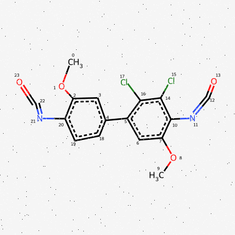 COc1cc(-c2cc(OC)c(N=C=O)c(Cl)c2Cl)ccc1N=C=O